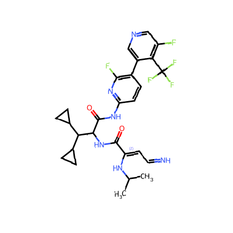 CC(C)N/C(=C\C=N)C(=O)NC(C(=O)Nc1ccc(-c2cncc(F)c2C(F)(F)F)c(F)n1)C(C1CC1)C1CC1